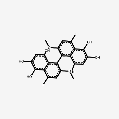 COc1cc(I)c2c(O)c(O)cc(O)c2c1-c1c(OC)cc(I)c2c(O)c(O)cc(O)c12